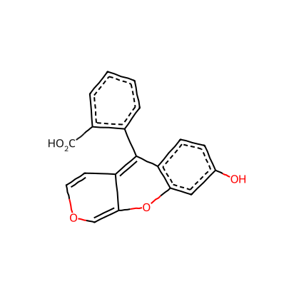 O=C(O)c1ccccc1C1=C2C=COC=C2Oc2cc(O)ccc21